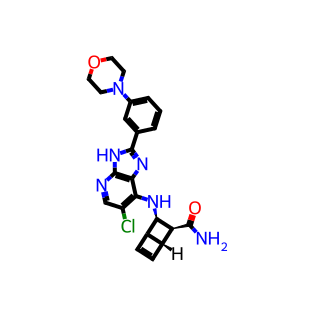 NC(=O)[C@H]1[C@@H]2C=CC2[C@H]1Nc1c(Cl)cnc2[nH]c(-c3cccc(N4CCOCC4)c3)nc12